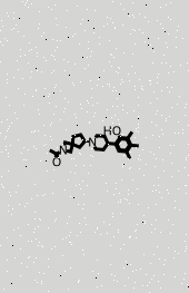 CC(=O)N1CC2(CC[C@@H](N3CCC(c4cc(C)c(C)c(C)c4O)CC3)C2)C1